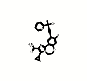 CC(O)(C#Cc1cc2c(cc1F)OCCn1c-2nc(C(N)=O)c1C1CC1)c1ccccn1